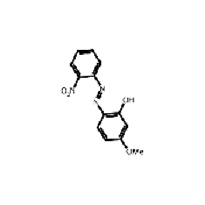 COc1ccc(/N=N/c2ccccc2[N+](=O)[O-])c(O)c1